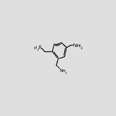 BCc1ccc(N)cc1CN